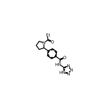 CCC(=O)N1CCCC1c1ccc(C(=O)Nc2nnn[nH]2)cc1